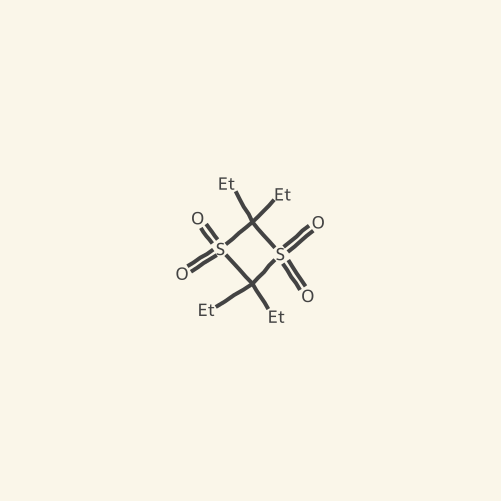 CCC1(CC)S(=O)(=O)C(CC)(CC)S1(=O)=O